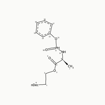 CCCCCCCCCCCCOC(=O)[C@H](C)N[PH](=O)Oc1ccccc1